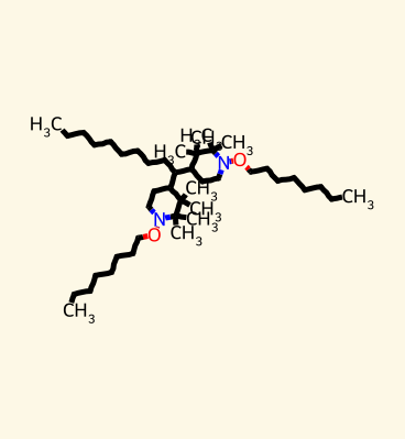 CCCCCCCCCC(C1CCN(OCCCCCCCC)C(C)(C)C1(C)C)C1CCN(OCCCCCCCC)C(C)(C)C1(C)C